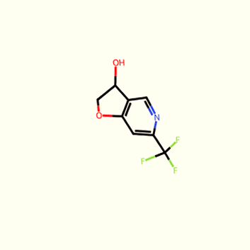 OC1COc2cc(C(F)(F)F)ncc21